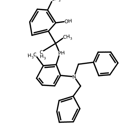 Cc1cccc(C(C)(C)Pc2c(C)cccc2N(Cc2ccccc2)Cc2ccccc2)c1O